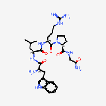 CC(C)C[C@H](NC(=O)[C@H](N)Cc1c[nH]c2ccccc12)C(=O)N[C@@H](CCCNC(=N)N)C(=O)N1CCC[C@H]1C(=O)NCC(N)=O